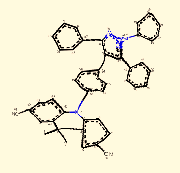 CC1(C)c2cc(C#N)ccc2N(c2ccc(-c3c(-c4ccccc4)nn(-c4ccccc4)c3-c3ccccc3)cc2)c2ccc(C#N)cc21